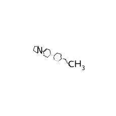 CCC[C@H]1CC[C@H](C2CC=C(N3CCCC3)CC2)CC1